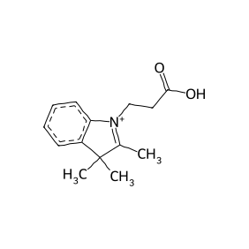 CC1=[N+](CCC(=O)O)c2ccccc2C1(C)C